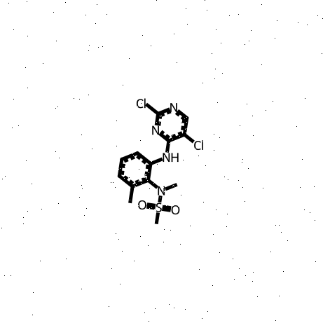 Cc1cccc(Nc2nc(Cl)ncc2Cl)c1N(C)S(C)(=O)=O